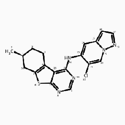 C[C@H]1CCc2c(sc3ncnc(Nc4cc5ccnn5cc4Cl)c23)C1